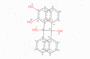 Oc1cccc(C(O)(c2ccccc2)C(O)(c2ccccc2)c2ccccc2)c1O